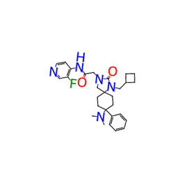 CN(C)C1(c2ccccc2)CCC2(CC1)CN(CC(=O)Nc1ccncc1F)C(=O)N2CC1CCC1